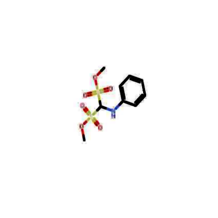 COS(=O)(=O)C(Nc1ccccc1)S(=O)(=O)OC